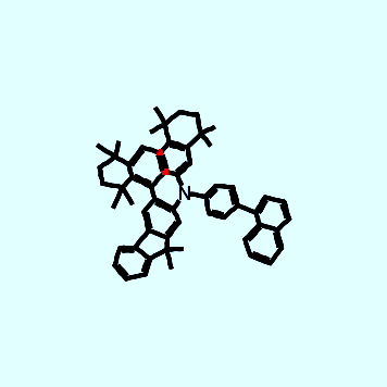 CC1(C)CCC(C)(C)c2cc(N(c3ccc(-c4cccc5ccccc45)cc3)c3cc4c(cc3-c3cccc5c3C(C)(C)CCC5(C)C)-c3ccccc3C4(C)C)ccc21